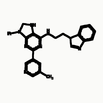 Cc1cncc(-c2nc(NCCC3C=Nc4ccccc43)c3c(n2)N(C(C)C)CN3)c1